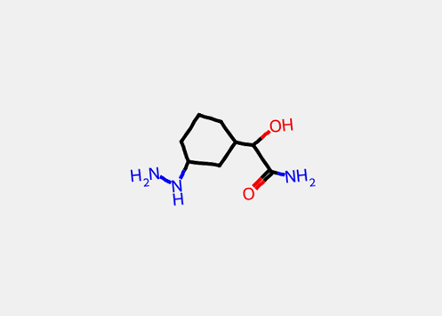 NNC1CCCC(C(O)C(N)=O)C1